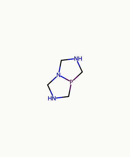 C1NCP2CNCN12